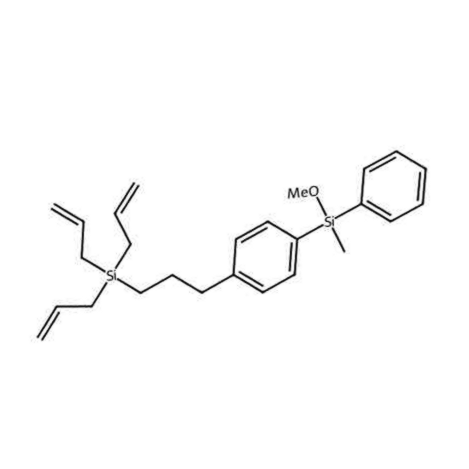 C=CC[Si](CC=C)(CC=C)CCCc1ccc([Si](C)(OC)c2ccccc2)cc1